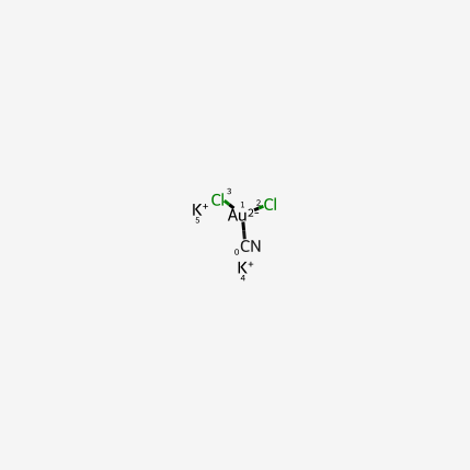 N#[C][Au-2]([Cl])[Cl].[K+].[K+]